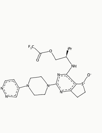 CC(C)[C@H](COC(=O)C(F)(F)F)Nc1nc(N2CCN(c3ccnnc3)CC2)nc2c1[S+]([O-])CC2